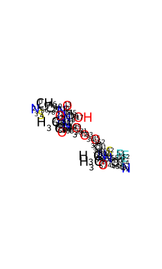 Cc1ncsc1-c1ccc(CNC(=O)[C@@H]2C[C@@H](O)CN2C(=O)[C@H](C(C)C)N2CC(OCCOCCOc3ccc(N4C(=S)N(c5ccc(C#N)c(C(F)(F)F)c5)C(=O)C4(C)C)cc3)=CC2=O)cc1